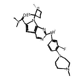 CCC1(n2c(C(=O)N(C)C)cc3cnc(Nc4ccc(N5CCN(C)CC5)c(F)c4)nc32)CC[C@H]1C